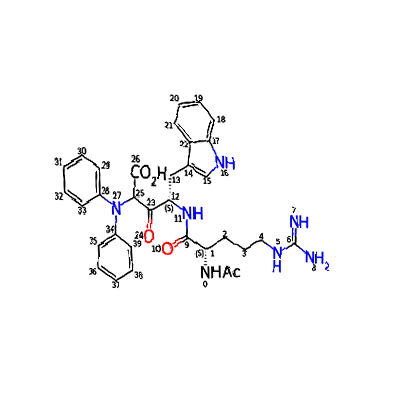 CC(=O)N[C@@H](CCCNC(=N)N)C(=O)N[C@@H](Cc1c[nH]c2ccccc12)C(=O)C(C(=O)O)N(c1ccccc1)c1ccccc1